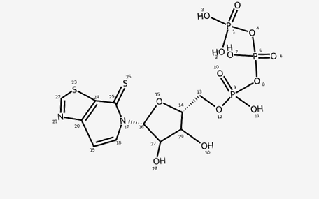 O=P(O)(O)OP(=O)(O)OP(=O)(O)OC[C@H]1O[C@@H](n2ccc3ncsc3c2=S)C(O)C1O